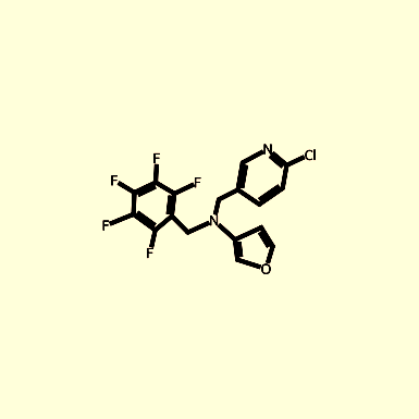 Fc1c(F)c(F)c(CN(Cc2ccc(Cl)nc2)c2ccoc2)c(F)c1F